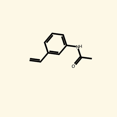 C=Cc1cccc(NC(C)=O)c1